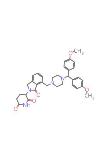 COc1ccc(C(c2ccc(OC)cc2)N2CCN(Cc3cccc4c3C(=O)N(C3CCC(=O)NC3=O)C4)CC2)cc1